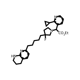 CCOC(=O)C(c1cccnc1C1CC1)N1CCC(F)(CCCCCc2ccc3c(n2)NCCC3)C1